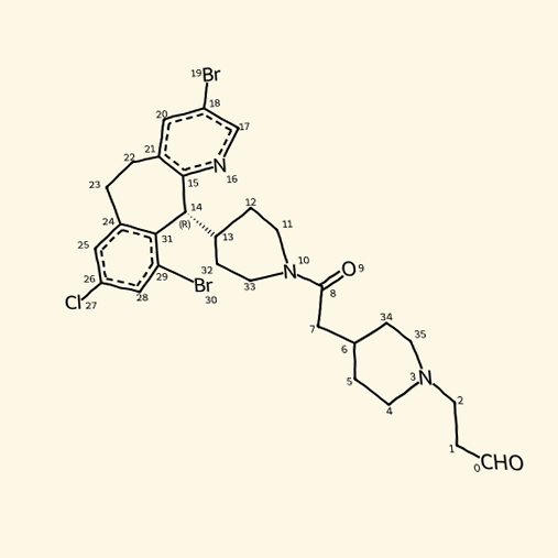 O=CCCN1CCC(CC(=O)N2CCC([C@H]3c4ncc(Br)cc4CCc4cc(Cl)cc(Br)c43)CC2)CC1